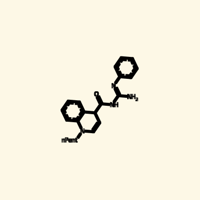 CCCCCN1C=CC(C(=O)NC(N)=Nc2ccccc2)c2ccccc21